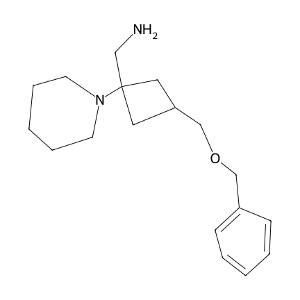 NCC1(N2CCCCC2)CC(COCc2ccccc2)C1